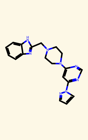 c1ccc2[nH]c(CN3CCN(c4cc(-n5cccn5)ncn4)CC3)nc2c1